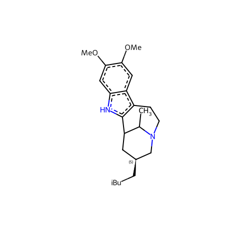 CCC(C)C[C@H]1CC2c3[nH]c4cc(OC)c(OC)cc4c3CCN(C1)C2C